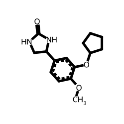 COc1ccc(C2CNC(=O)N2)cc1OC1CCCC1